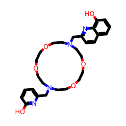 Oc1cccc(CN2CCOCCOCCN(Cc3ccc4cccc(O)c4n3)CCOCCOCC2)n1